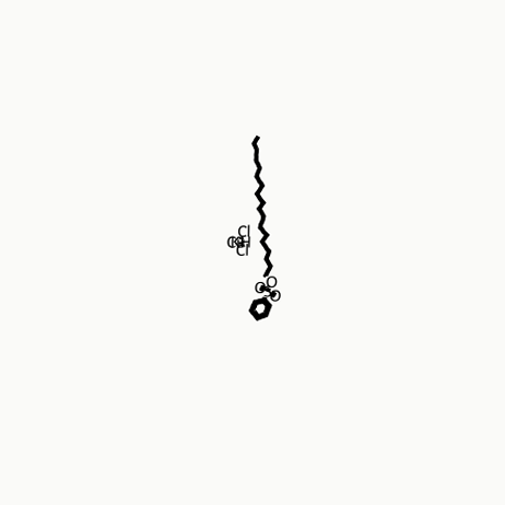 CCCCCCCCCCCCCCCCCCOS(=O)(=O)c1ccccc1.[Cl][Cu][Cl].[KH]